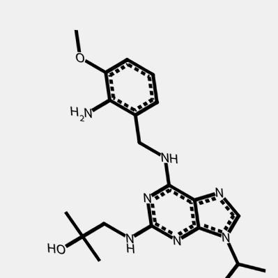 COc1cccc(CNc2nc(NCC(C)(C)O)nc3c2ncn3C(C)C)c1N